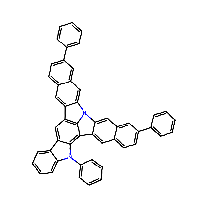 c1ccc(-c2ccc3cc4c5cc6c7ccccc7n(-c7ccccc7)c6c6c7cc8ccc(-c9ccccc9)cc8cc7n(c4cc3c2)c56)cc1